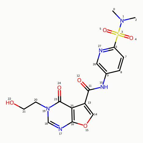 CN(C)S(=O)(=O)c1ccc(NC(=O)c2coc3ncn(CCO)c(=O)c23)cn1